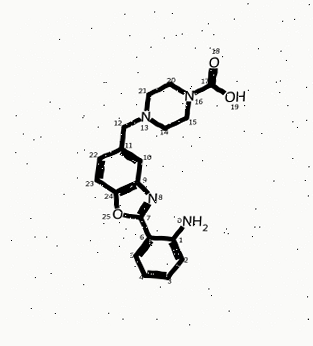 Nc1ccccc1-c1nc2cc(CN3CCN(C(=O)O)CC3)ccc2o1